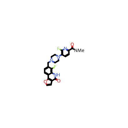 CNC(=O)c1ccc(N2CCN(Cc3ccc4c([nH]c(=O)c5ccoc54)c3F)CC2)c(F)n1